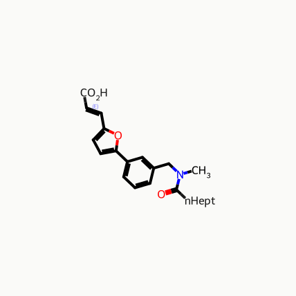 CCCCCCCC(=O)N(C)Cc1cccc(-c2ccc(/C=C/C(=O)O)o2)c1